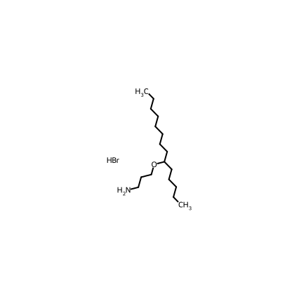 Br.CCCCCCCCC(CCCCC)OCCCN